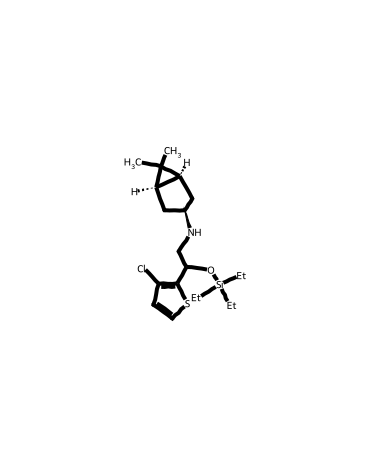 CC[Si](CC)(CC)OC(CN[C@H]1C[C@@H]2[C@H](C1)C2(C)C)c1sccc1Cl